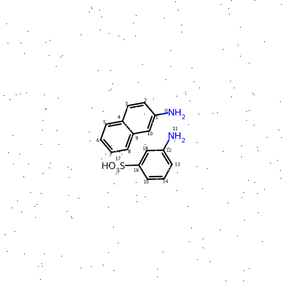 Nc1ccc2ccccc2c1.Nc1cccc(S(=O)(=O)O)c1